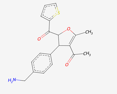 CC(=O)C1=C(C)OC(C(=O)c2cccs2)C1c1ccc(CN)cc1